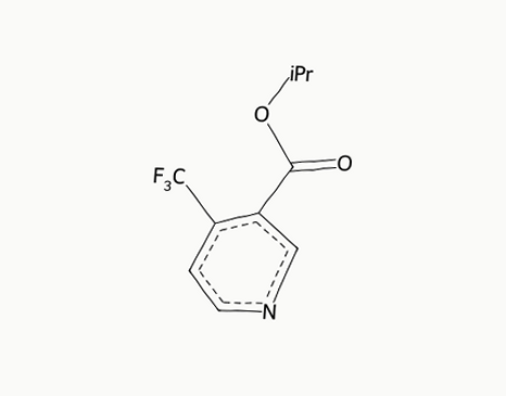 CC(C)OC(=O)c1cnccc1C(F)(F)F